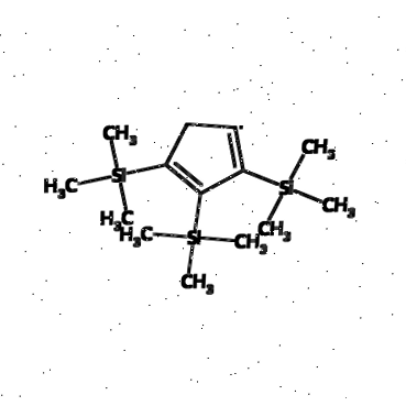 C[Si](C)(C)C1=[C]CC([Si](C)(C)C)=C1[Si](C)(C)C